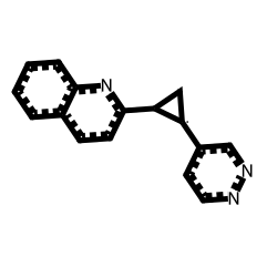 c1ccc2nc(C3C[C]3c3ccnnc3)ccc2c1